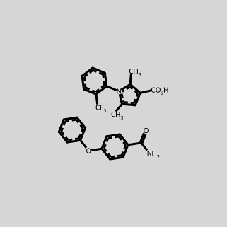 Cc1cc(C(=O)O)c(C)n1-c1ccccc1C(F)(F)F.NC(=O)c1ccc(Oc2ccccc2)cc1